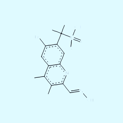 CCc1c(C=NO)nc2cc(C(F)(F)P(=O)(O)O)c(Br)cc2c1CC